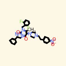 Cc1c(N2CCN(CCc3ccc([N+](=O)[O-])cc3)CC2)c(=O)n(C[C@@H](N)c2ccccc2)c(=O)n1Cc1c(F)cccc1F